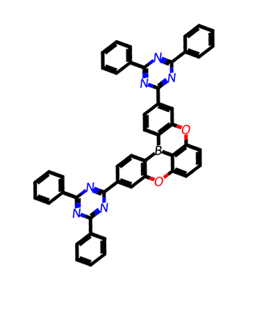 c1ccc(-c2nc(-c3ccccc3)nc(-c3ccc4c(c3)Oc3cccc5c3B4c3ccc(-c4nc(-c6ccccc6)nc(-c6ccccc6)n4)cc3O5)n2)cc1